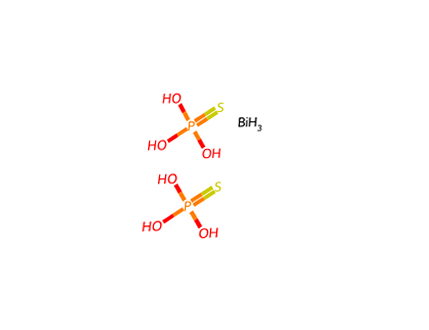 OP(O)(O)=S.OP(O)(O)=S.[BiH3]